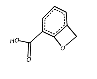 O=C(O)c1cccc2c1OC2